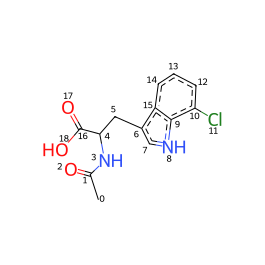 CC(=O)NC(Cc1c[nH]c2c(Cl)cccc12)C(=O)O